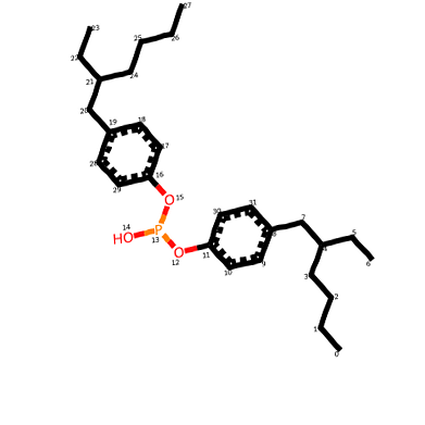 CCCCC(CC)Cc1ccc(OP(O)Oc2ccc(CC(CC)CCCC)cc2)cc1